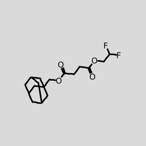 O=C(CCC(=O)OCC12CC3CC(CC(C3)C1)C2)OCC(F)F